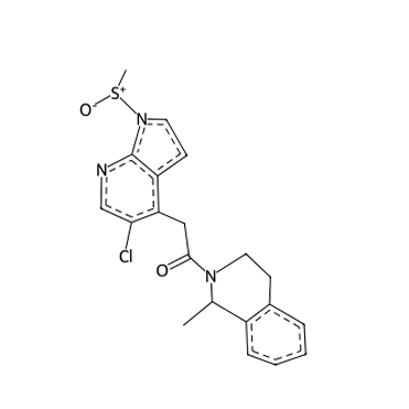 CC1c2ccccc2CCN1C(=O)Cc1c(Cl)cnc2c1ccn2[S+](C)[O-]